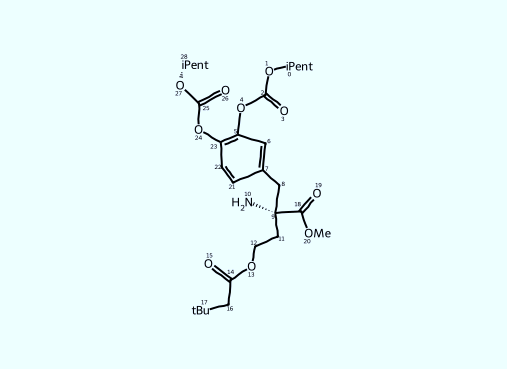 CCCC(C)OC(=O)Oc1cc(C[C@](N)(CCOC(=O)CC(C)(C)C)C(=O)OC)ccc1OC(=O)O[C@@H](C)CCC